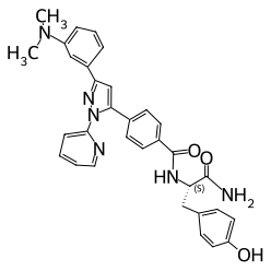 CN(C)c1cccc(-c2cc(-c3ccc(C(=O)N[C@@H](Cc4ccc(O)cc4)C(N)=O)cc3)n(-c3ccccn3)n2)c1